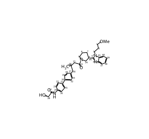 COCCCn1c([C@@H]2CCCN(C(=O)C[C@H](C)Cc3ccc(-c4ccc(NC(=O)CO)cc4)cc3)C2)nc2ccccc21